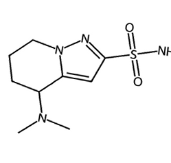 CN(C)C1CCCn2nc(S(N)(=O)=O)cc21